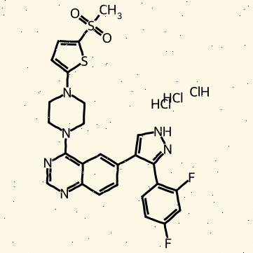 CS(=O)(=O)c1ccc(N2CCN(c3ncnc4ccc(-c5c[nH]nc5-c5ccc(F)cc5F)cc34)CC2)s1.Cl.Cl.Cl